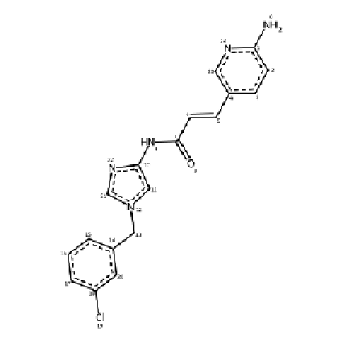 Nc1ccc(/C=C/C(=O)Nc2cn(Cc3cccc(Cl)c3)cn2)cn1